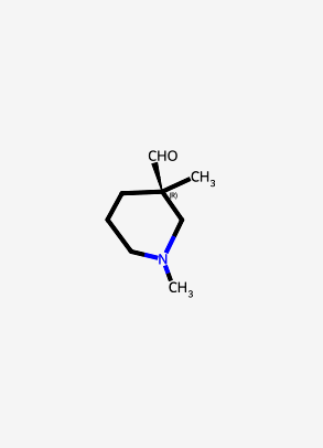 CN1CCC[C@@](C)(C=O)C1